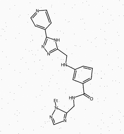 CCn1ncnc1CNC(=O)c1cccc(NCc2nnc(-c3ccncc3)[nH]2)c1